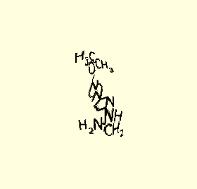 C=C(N)Nc1ccc(N2CCN(CCOC(C)C)CC2)cn1